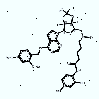 COc1ccc(CNc2ncnc3c2ccn3[C@@H]2O[C@H](CN(CCCCC(=O)Nc3ccc(C(C)(C)C)cc3N)C(C)C)[C@H]3OC(C)(C)O[C@H]32)c(OC)c1